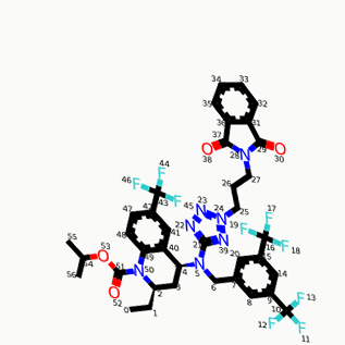 CC[C@@H]1C[C@H](N(Cc2cc(C(F)(F)F)cc(C(F)(F)F)c2)c2nnn(CCCN3C(=O)c4ccccc4C3=O)n2)c2cc(C(F)(F)F)ccc2N1C(=O)OC(C)C